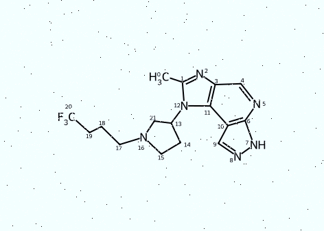 Cc1nc2cnc3[nH]ncc3c2n1C1CCN(CCCC(F)(F)F)C1